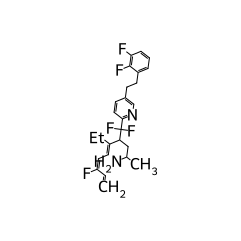 C=C/C(F)=C\C=C(/CC)C(CC(C)N)C(F)(F)c1ccc(CCc2cccc(F)c2F)cn1